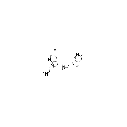 Cc1cc2ccn(CCN(C)Cc3cn(CCN(C)C)c4ncc(F)cc34)c2cn1